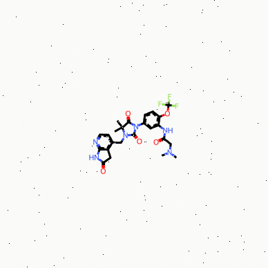 CN(C)CC(=O)Nc1cc(N2C(=O)N(Cc3ccnc4c3CC(=O)N4)C(C)(C)C2=O)ccc1OC(F)(F)F